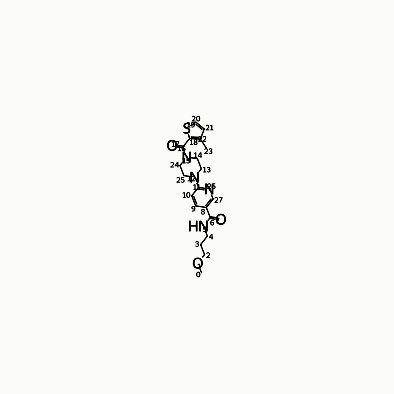 COCCCNC(=O)c1ccc(N2CCN(C(=O)c3sccc3C)CC2)nc1